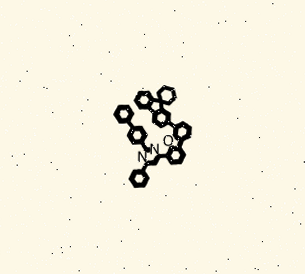 c1ccc(-c2ccc(-c3nc(-c4ccccc4)cc(-c4cccc5c4oc4c(-c6ccc7c(c6)C6(CCCCC6)c6ccccc6-7)cccc45)n3)cc2)cc1